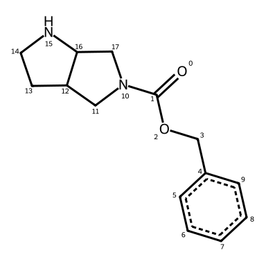 O=C(OCc1ccccc1)N1CC2CCNC2C1